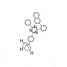 c1ccc(-c2nc(-c3ccc(C45C[C@H]6C[C@H](C4)C[C@@H](C5)C6)cc3)nc(-c3ccccc3-c3ccc4ccccc4c3)n2)cc1